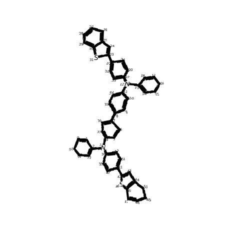 C1=CC(N(c2ccc(-c3ccc(N(C4=CCCC=C4)c4ccc(-c5cc6ccccc6s5)cc4)cc3)cc2)c2ccc(-c3cc4c(s3)C=CCC4)cc2)=CCC1